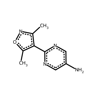 Cc1noc(C)c1-c1ncc(N)cn1